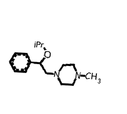 CC(C)OC(CN1CCN(C)CC1)c1ccccc1